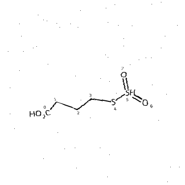 O=C(O)CCCS[SH](=O)=O